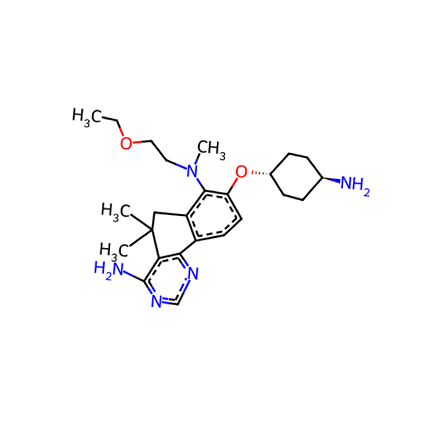 CCOCCN(C)c1c(O[C@H]2CC[C@H](N)CC2)ccc2c1CC(C)(C)c1c(N)ncnc1-2